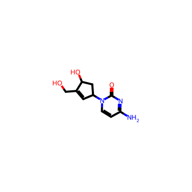 Nc1ccn(C2C=C(CO)C(O)C2)c(=O)n1